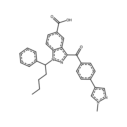 CCCCC(c1ccccc1)n1nc(C(=O)c2ccc(-c3cnn(C)c3)cc2)c2cc(C(=O)O)ccc21